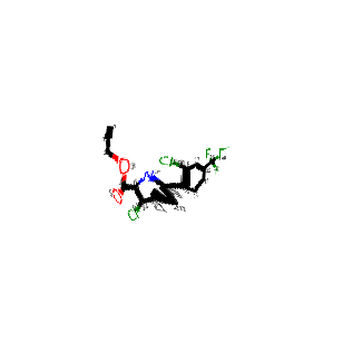 C#CCOC(=O)c1nc(-c2ccc(C(F)(F)F)cc2Cl)ccc1Cl